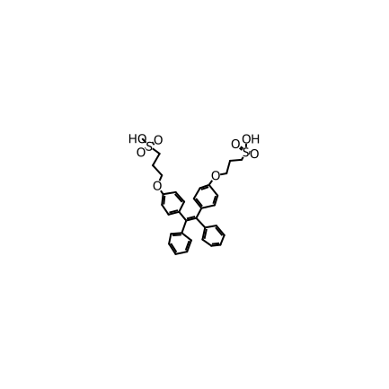 O=S(=O)(O)CCCOc1ccc(C(=C(c2ccccc2)c2ccc(OCCCS(=O)(=O)O)cc2)c2ccccc2)cc1